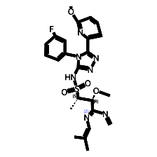 C=N/C(=N\C=C(C)C)[C@@H](OC)[C@H](C)S(=O)(=O)Nc1nnc(-c2cccc(OC)n2)n1-c1cccc(F)c1